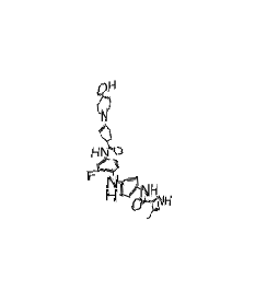 Cc1c[nH]cc1C(=O)Nc1ccc(Nc2ccc(NC(=O)c3ccc(N4CCC(O)CC4)cc3)cc2F)cc1